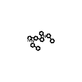 c1ccc(-c2cccc(-n3c4ccccc4c4c(-c5ccc6c7cccnc7n(-c7cccc(-c8ccccc8)c7)c6c5)cccc43)c2)cc1